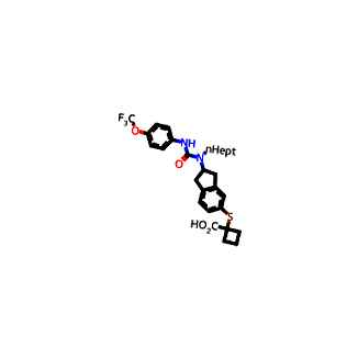 CCCCCCCN(C(=O)Nc1ccc(OC(F)(F)F)cc1)C1Cc2ccc(SC3(C(=O)O)CCC3)cc2C1